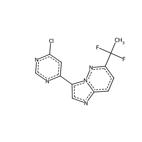 CC(F)(F)c1ccc2ncc(-c3cc(Cl)ncn3)n2n1